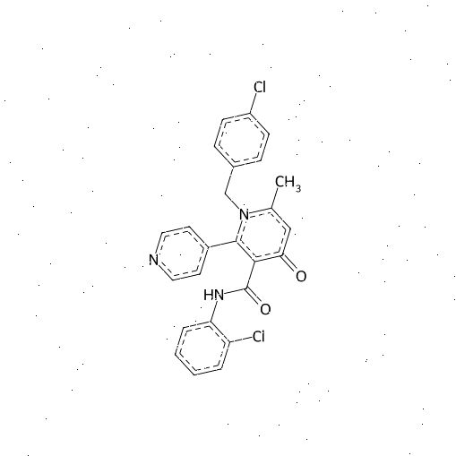 Cc1cc(=O)c(C(=O)Nc2ccccc2Cl)c(-c2ccncc2)n1Cc1ccc(Cl)cc1